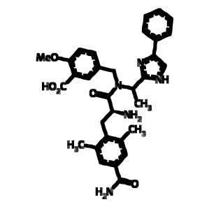 COc1ccc(CN(C(=O)[C@@H](N)Cc2c(C)cc(C(N)=O)cc2C)C(C)c2nc(-c3ccccc3)c[nH]2)cc1C(=O)O